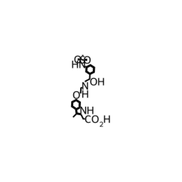 Cc1c(CC(=O)O)[nH]c2cc(OCCNCC(O)c3cccc(NS(C)(=O)=O)c3)ccc12